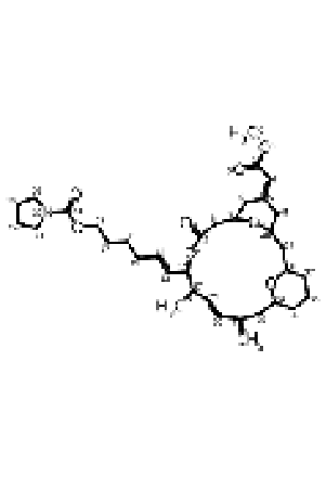 COC(=O)/C=C1\CC2CC(=O)OC(/C=C/CCCCOC(=O)N3CCCC3)C(C)/C=C/C(C)CC3CCCC(CC(C1)O2)O3